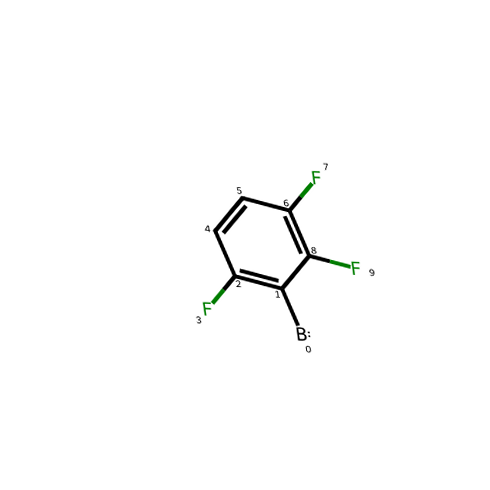 [B]c1c(F)ccc(F)c1F